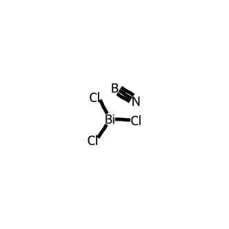 B#N.[Cl][Bi]([Cl])[Cl]